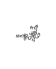 COC(=O)C1CCCN1C(=O)c1cccc(C(=O)NC(Cc2ccccc2)C(O)CNCc2cncc(C(C)C)c2)c1